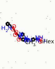 CCCCCCOC(=O)/N=C(\N)c1ccc(NCc2nc3cc(C(=O)N(CCC(=O)OCCOC(=O)[C@@H](N)Cc4ccccc4)c4ccccn4)ccc3n2C)cc1